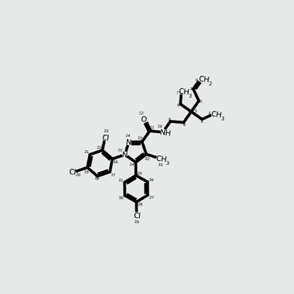 C=CCC(CC)(CC)CCNC(=O)c1nn(-c2ccc(Cl)cc2Cl)c(-c2ccc(Cl)cc2)c1C